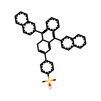 CP(C)(=O)c1ccc(C2=CCC3C(=C2)C(c2ccc4ccccc4c2)=c2ccccc2=C3c2ccc3ccccc3c2)cc1